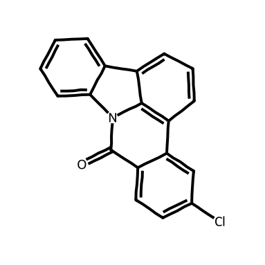 O=c1c2ccc(Cl)cc2c2cccc3c4ccccc4n1c23